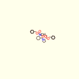 CN(C(=O)OCc1ccccc1)C1CCCCC1C(=O)N1CCC[C@H]1C(=O)OCc1ccccc1